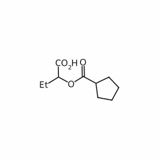 CCC(OC(=O)C1CCCC1)C(=O)O